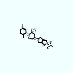 Cc1ccc(F)cc1[C@H]1OC[C@H](N2Cc3cn(S(C)(=O)=O)nc3C2)C[C@@H]1N